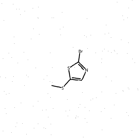 CSc1cnc(Br)s1